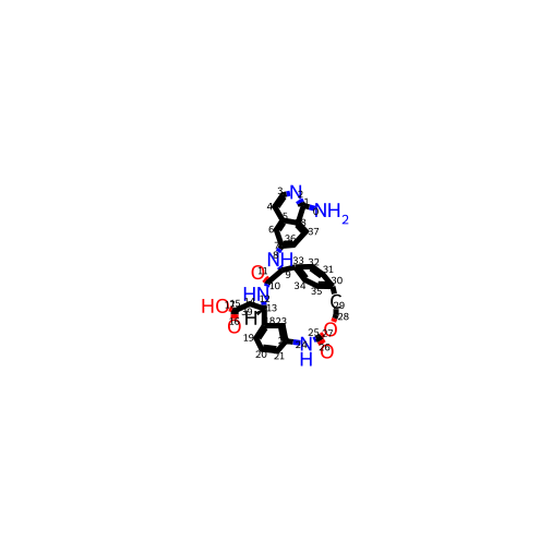 Nc1nccc2cc(NC3C(=O)N[C@@H](CC(=O)O)c4cccc(c4)NC(=O)OCCc4ccc3cc4)ccc12